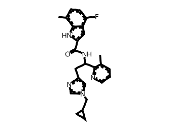 Cc1cccnc1C(Cc1cn(CC2CC2)cn1)NC(=O)c1cc2c(F)ccc(C)c2[nH]1